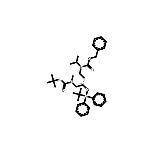 CC(C)N(CC[C@@H](CN(C)C(=O)OC(C)(C)C)O[Si](c1ccccc1)(c1ccccc1)C(C)(C)C)C(=O)OCc1ccccc1